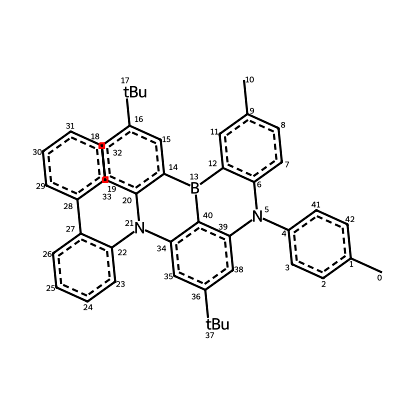 Cc1ccc(N2c3ccc(C)cc3B3c4cc(C(C)(C)C)ccc4N(c4ccccc4-c4ccccc4)c4cc(C(C)(C)C)cc2c43)cc1